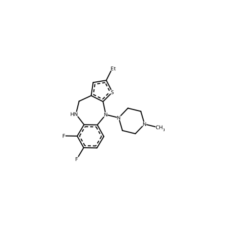 CCc1cc2c(s1)N(N1CCN(C)CC1)c1ccc(F)c(F)c1NC2